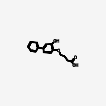 O=C(O)CCCOc1ccc(-c2ccccc2)cc1O